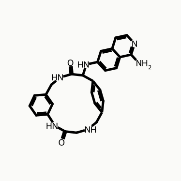 Nc1nccc2cc(NC3C(=O)NCc4cccc(c4)NC(=O)CNCc4ccc3cc4)ccc12